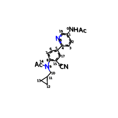 CC(=O)Nc1ccc(-c2ccc(N(CC3CC3)C(C)=O)c(C#N)c2)nc1